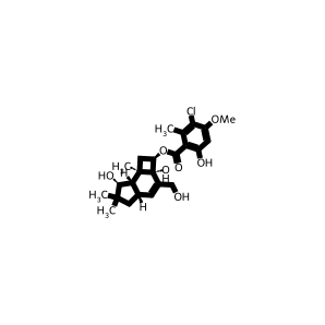 COc1cc(O)c(C(=O)O[C@@H]2C[C@]3(C)[C@@H]4[C@H](C=C(CO)[C@]23O)CC(C)(C)[C@@H]4O)c(C)c1Cl